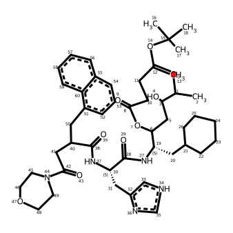 CC(C)C(O)CC(OC(=O)CCC(=O)OC(C)(C)C)[C@H](CC1CCCCC1)NC(=O)[C@H](Cc1c[nH]cn1)NC(=O)C(CC(=O)N1CCOCC1)Cc1cccc2ccccc12